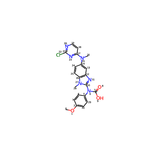 COc1ccc(N(C(=O)O)c2nc3cc(N(C)c4ccnc(Cl)n4)ccc3n2C)cc1